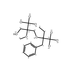 CCC(Cc1ccccc1)(OCC(CO)(OC)C(Cl)(Cl)Cl)C(Cl)(Cl)Cl